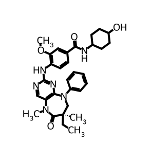 CC[C@]1(C)CN(c2ccccc2)c2nc(Nc3ccc(C(=O)NC4CCC(O)CC4)cc3OC)ncc2N(C)C1=O